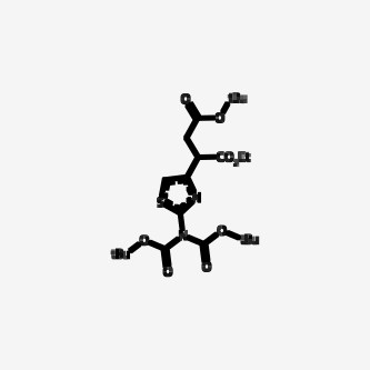 CCOC(=O)C(CC(=O)OC(C)(C)C)c1csc(N(C(=O)OC(C)(C)C)C(=O)OC(C)(C)C)n1